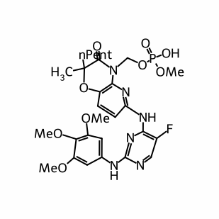 CCCCCC1(C)Oc2ccc(Nc3nc(Nc4cc(OC)c(OC)c(OC)c4)ncc3F)nc2N(COP(=O)(O)OC)C1=O